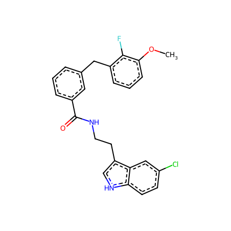 COc1cccc(Cc2cccc(C(=O)NCCc3c[nH]c4ccc(Cl)cc34)c2)c1F